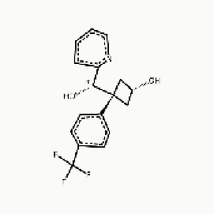 O[C@H](c1ccccn1)[C@]1(c2ccc(C(F)(F)F)cc2)C[C@H](O)C1